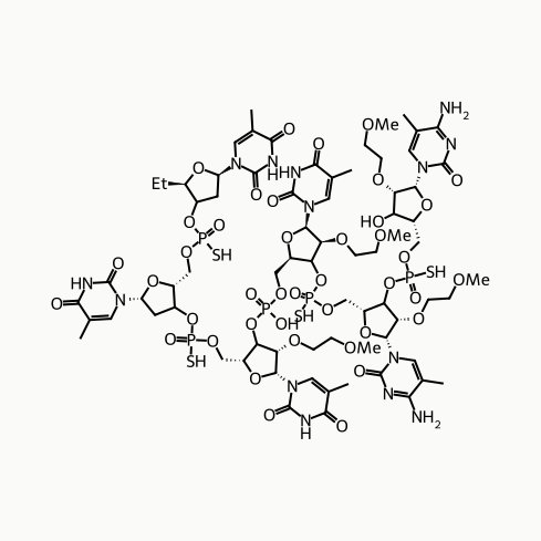 CC[C@H]1O[C@@H](n2cc(C)c(=O)[nH]c2=O)CC1OP(=O)(S)OC[C@H]1O[C@@H](n2cc(C)c(=O)[nH]c2=O)CC1OP(=O)(S)OC[C@H]1O[C@@H](n2cc(C)c(=O)[nH]c2=O)[C@@H](OCCOC)C1OP(=O)(O)OC[C@H]1O[C@@H](n2cc(C)c(=O)[nH]c2=O)[C@@H](OCCOC)C1OP(=O)(S)OC[C@H]1O[C@@H](n2cc(C)c(N)nc2=O)[C@@H](OCCOC)C1OP(=O)(S)OC[C@H]1O[C@@H](n2cc(C)c(N)nc2=O)[C@@H](OCCOC)C1O